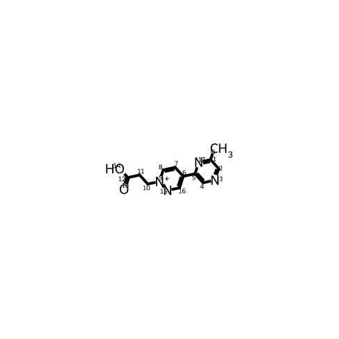 Cc1cncc(-c2cc[n+](CCC(=O)O)nc2)n1